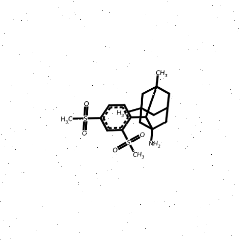 CC12CC3CC(C)(C1)C(c1ccc(S(C)(=O)=O)cc1S(C)(=O)=O)C(N)(C3)C2